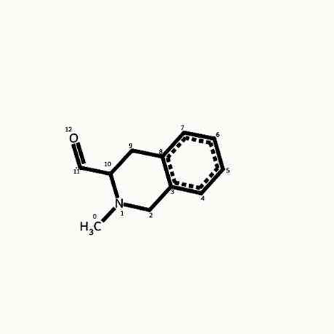 CN1Cc2ccccc2CC1[C]=O